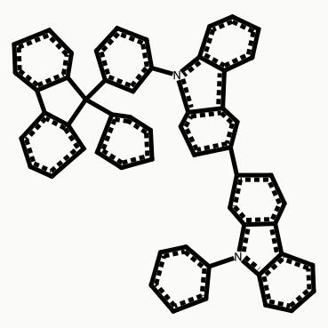 c1ccc(-n2c3ccccc3c3ccc(-c4ccc5c(c4)c4ccccc4n5-c4cccc(C5(c6ccccc6)c6ccccc6-c6ccccc65)c4)cc32)cc1